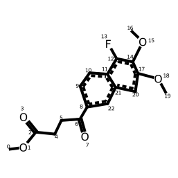 COC(=O)CCC(=O)c1ccc2c(F)c(OC)c(OC)cc2c1